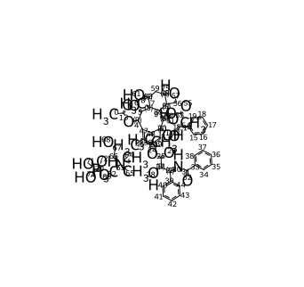 CC(=O)O[C@H]1C(=O)[C@@]2(C)[C@H]([C@H](OC(=O)c3ccccc3)[C@]3(O)C[C@H](OC(=O)[C@H](O)[C@@H](NC(=O)c4ccccc4)c4ccccc4)C(C)=C1C3(C)C)[C@]1(OC(C)=O)CO[C@@H]1C[C@@H]2O.C[N+](C)(C)CCO.O=P(O)(O)O